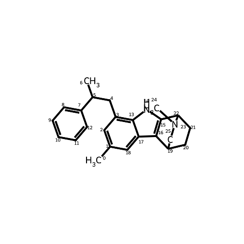 Cc1cc(CC(C)c2ccccc2)c2[nH]c3c(c2c1)C1CCC3N(C)C1